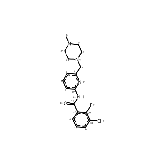 CN1CCN(Cc2cccc(NC(=O)c3cccc(Cl)c3F)n2)CC1